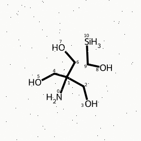 NC(CO)(CO)CO.OC[SiH3]